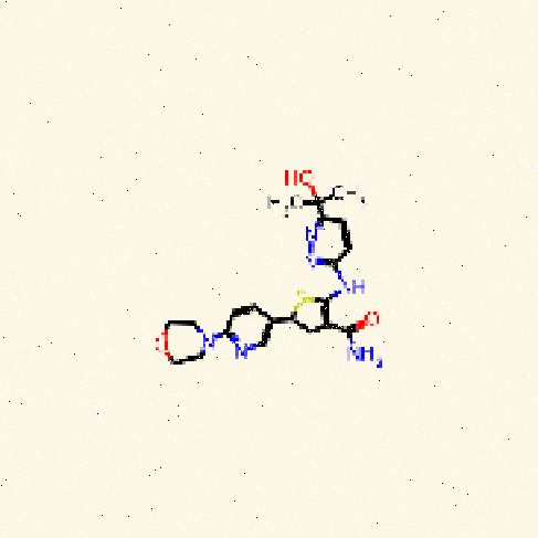 CC(C)(O)c1ccc(NC2=C(C(N)=O)CC(c3ccc(N4CCOCC4)nc3)S2)nn1